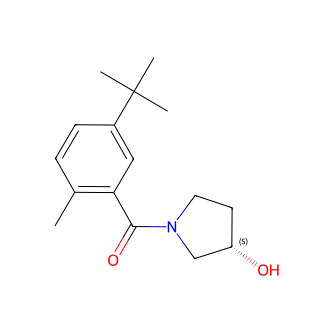 Cc1ccc(C(C)(C)C)cc1C(=O)N1CC[C@H](O)C1